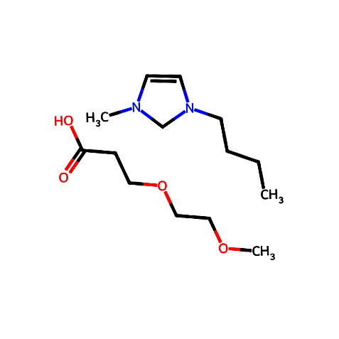 CCCCN1C=CN(C)C1.COCCOCCC(=O)O